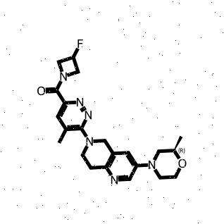 Cc1cc(C(=O)N2CC(F)C2)nnc1N1CCc2ncc(N3CCO[C@H](C)C3)cc2C1